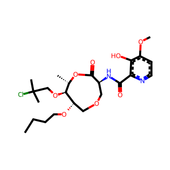 CCCCO[C@H]1COC[C@H](NC(=O)c2nccc(OC)c2O)C(=O)O[C@@H](C)[C@@H]1OCC(C)(C)Cl